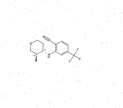 C[C@H]1COCC[C@@H]1Nc1cc(C(F)(F)F)ccc1C#N